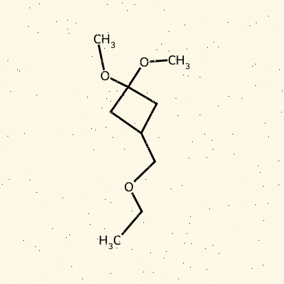 CCOCC1CC(OC)(OC)C1